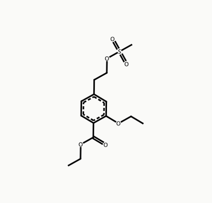 CCOC(=O)c1ccc(CCOS(C)(=O)=O)cc1OCC